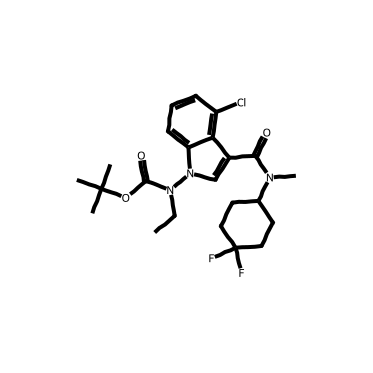 CCN(C(=O)OC(C)(C)C)n1cc(C(=O)N(C)C2CCC(F)(F)CC2)c2c(Cl)cccc21